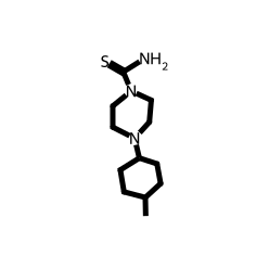 CC1CCC(N2CCN(C(N)=S)CC2)CC1